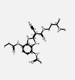 CCC(=O)Oc1ccc(OC(C)=O)c2c1S/C(=C(\C#N)C(=O)OCCC(C)OC)S2